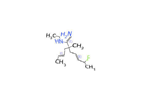 C/C=C/CC(C)(C/C=C/C(C)F)/C(=C/N)NCC